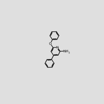 Nc1cc(-c2ccccc2)cc(Oc2ccccc2)n1